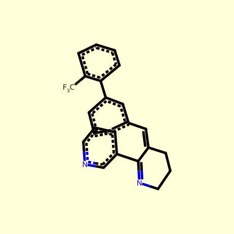 FC(F)(F)c1ccccc1-c1cccc(/C=C2/CCCN=C2c2cccnc2)c1